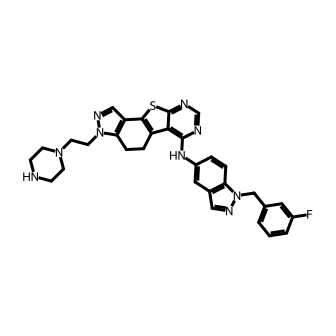 Fc1cccc(Cn2ncc3cc(Nc4ncnc5sc6c(c45)CCc4c-6cnn4CCN4CCNCC4)ccc32)c1